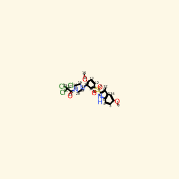 COc1ccc2[nH]c(S(=O)(=O)c3ccc(OC)c(N4CCN(C(=O)C(Cl)(Cl)Cl)CC4)c3)c(C)c2c1